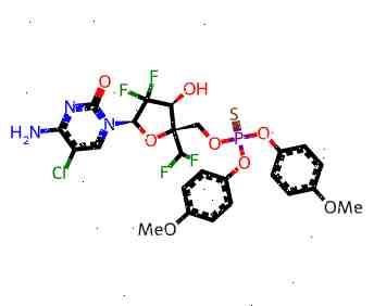 COc1ccc(OP(=S)(OC[C@@]2(C(F)F)O[C@@H](n3cc(Cl)c(N)nc3=O)C(F)(F)[C@H]2O)Oc2ccc(OC)cc2)cc1